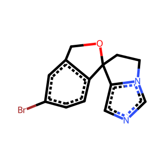 Brc1ccc2c(c1)COC21CCn2cncc21